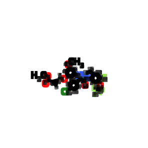 COC(=O)[C@@H]1C[C@H]1COc1cc(NC(C(=O)N2CCc3cc(F)c(OC(F)(F)F)cc32)c2ccc(Cl)cc2)cc(OC)c1